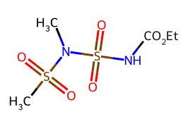 CCOC(=O)NS(=O)(=O)N(C)S(C)(=O)=O